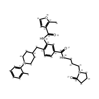 Cc1ccccc1N1CCC(Cc2ccc(C(=O)NCCCN3CCCC3=O)cc2NC(=O)c2ccoc2C)CC1